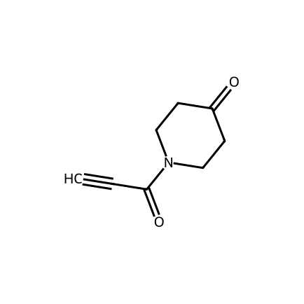 C#CC(=O)N1CCC(=O)CC1